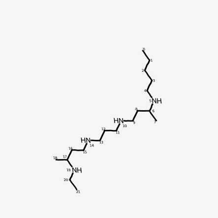 CCCCCNC(C)CCNCCCNCCC(C)NCC